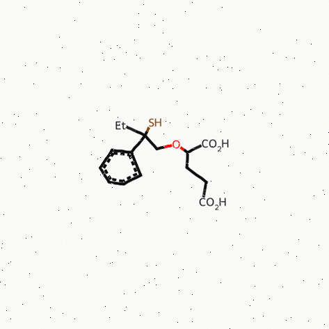 CCC(S)(COC(CCC(=O)O)C(=O)O)c1ccccc1